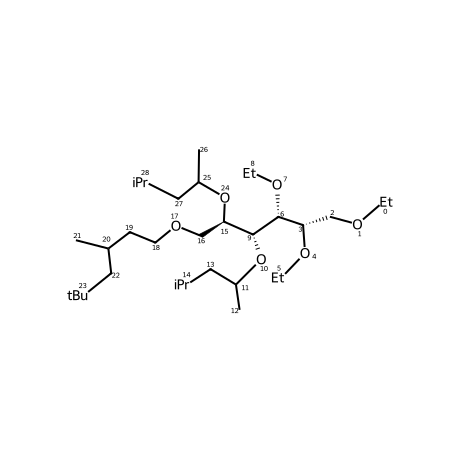 CCOC[C@H](OCC)[C@@H](OCC)[C@H](OC(C)CC(C)C)[C@@H](COCCC(C)CC(C)(C)C)OC(C)CC(C)C